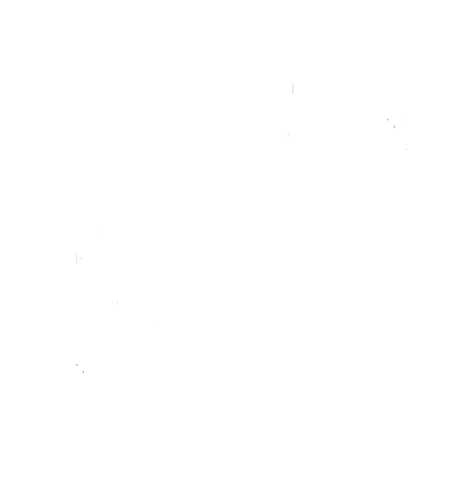 CC1(C)CC(OC(=O)CCCCCCCCC(=O)OC2CC(C)(C)NC(C)(C)C2)CC(C)(C)N1.O=C(O)CCCCCCCCC(=O)O